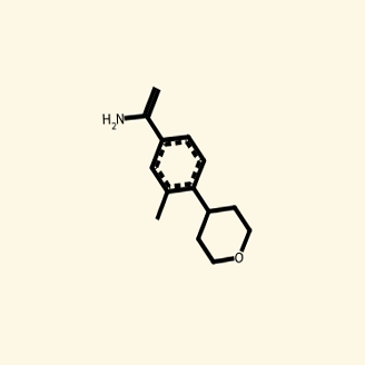 C=C(N)c1ccc(C2CCOCC2)c(C)c1